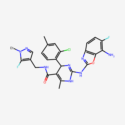 CCn1ncc(CNC(=O)C2=C(C)NC(Nc3nc4ccc(F)c(N)c4o3)=NC2c2ccc(C)cc2Cl)c1F